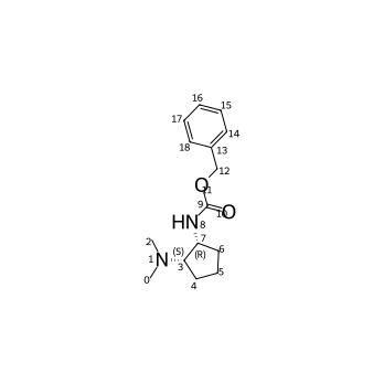 CN(C)[C@H]1CCC[C@H]1NC(=O)OCc1ccccc1